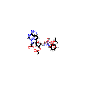 CC(=O)O[C@H]1[C@@H](OC(C)=O)[C@](C#N)(c2ccc3c(N)ncnn23)O[C@@H]1CO[P@@](=O)(N[C@@H](C)C(=O)OC(C)C)Oc1ccccc1